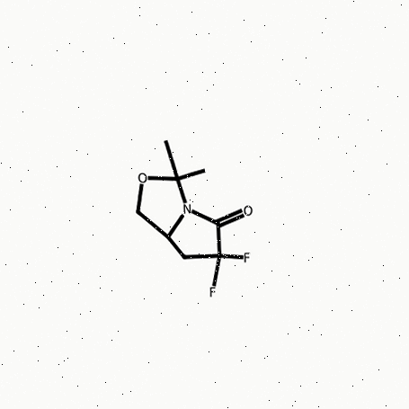 CC1(C)OCC2CC(F)(F)C(=O)N21